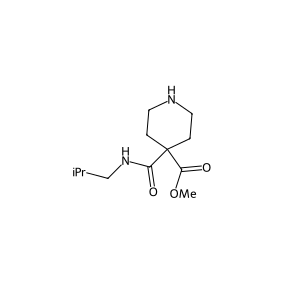 COC(=O)C1(C(=O)NCC(C)C)CCNCC1